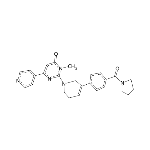 Cn1c(N2CCC=C(c3ccc(C(=O)N4CCCC4)cc3)C2)nc(-c2ccncc2)cc1=O